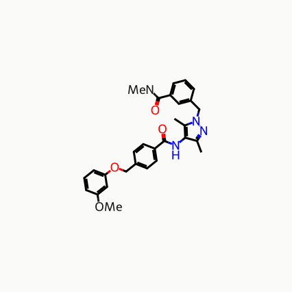 CNC(=O)c1cccc(Cn2nc(C)c(NC(=O)c3ccc(COc4cccc(OC)c4)cc3)c2C)c1